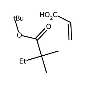 C=CC(=O)O.CCC(C)(C)C(=O)OC(C)(C)C